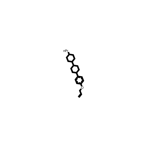 C=CCOc1ccc(C2CCC(C3CCC(CCC)CC3)CC2)cc1